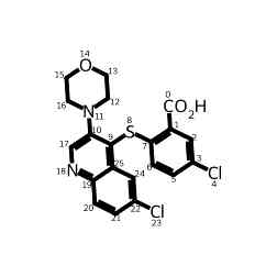 O=C(O)c1cc(Cl)ccc1Sc1c(N2CCOCC2)cnc2ccc(Cl)cc12